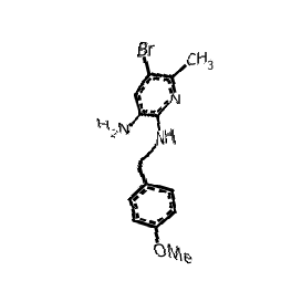 COc1ccc(CNc2nc(C)c(Br)cc2N)cc1